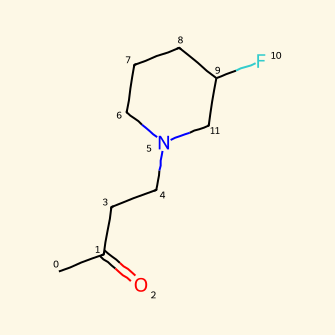 CC(=O)CCN1CCCC(F)C1